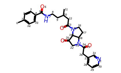 Cc1ccc(C(=O)NCCC(C)CC(=O)N2CCC3C2C(=O)CN3C(=O)Cc2cccnc2)cc1